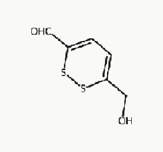 O=CC1=CC=C(CO)SS1